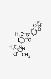 CCN(C(=O)c1cccc(-n2nc(C)c(Cl)c2C)c1)c1ccc2c(c1)OC(F)(F)O2